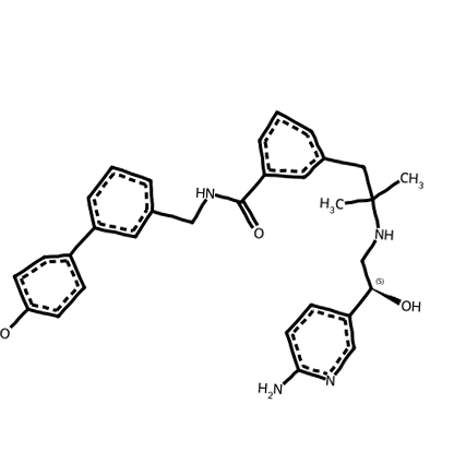 CC(C)(Cc1cccc(C(=O)NCc2cccc(-c3ccc(O)cc3)c2)c1)NC[C@@H](O)c1ccc(N)nc1